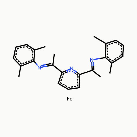 CC(=Nc1c(C)cccc1C)c1cccc(C(C)=Nc2c(C)cccc2C)n1.[Fe]